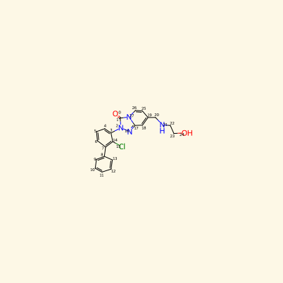 O=c1n(-c2cccc(-c3ccccc3)c2Cl)nc2cc(CNCCO)ccn12